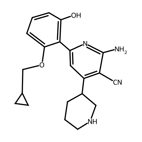 N#Cc1c(C2CCCNC2)cc(-c2c(O)cccc2OCC2CC2)nc1N